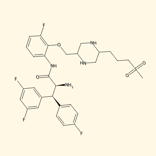 CS(=O)(=O)CCCC1CNC(COc2c(F)cccc2NC(=O)[C@@H](N)[C@@H](c2ccc(F)cc2)c2cc(F)cc(F)c2)CN1